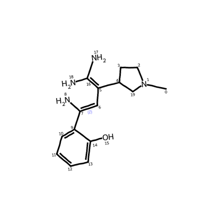 CN1CCC(C(/C=C(\N)c2ccccc2O)=C(N)N)C1